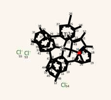 CC1=C(C)C(C)([Si](c2cc(C)c(C)cc2-c2ccccc2)(c2cc(C)c(C)cc2-c2ccccc2)c2cc(C)c(C)cc2-c2ccccc2)[C]([Ti+3])=C1C.[Cl-].[Cl-].[Cl-]